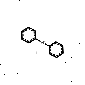 [I-].c1cc[c]([Al+][c]2ccccc2)cc1